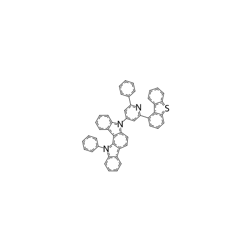 c1ccc(-c2cc(-n3c4ccccc4c4c3ccc3c5ccccc5n(-c5ccccc5)c34)cc(-c3cccc4sc5ccccc5c34)n2)cc1